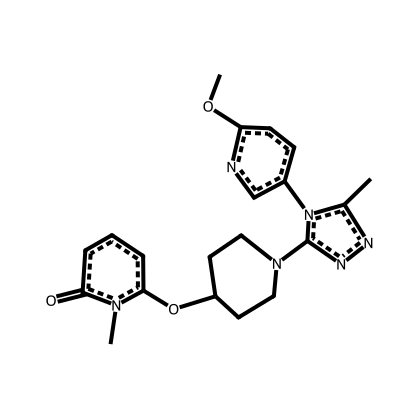 COc1ccc(-n2c(C)nnc2N2CCC(Oc3cccc(=O)n3C)CC2)cn1